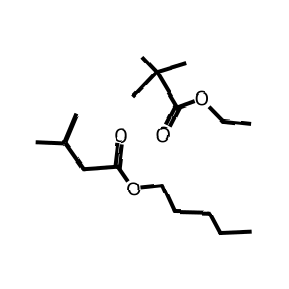 CCCCCOC(=O)CC(C)C.CCOC(=O)C(C)(C)C